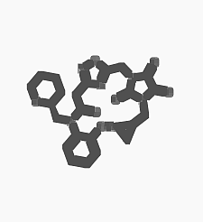 COc1ccccc1N(C[C@@H]1CCCCO1)C(=O)Cc1noc(CN2C(=O)C(=O)N(CC3CC3)C2=O)n1